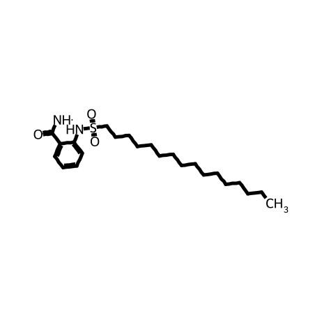 CCCCCCCCCCCCCCCCS(=O)(=O)Nc1ccccc1C([NH])=O